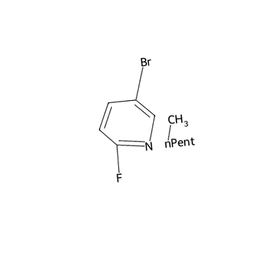 CCCCCC.Fc1ccc(Br)cn1